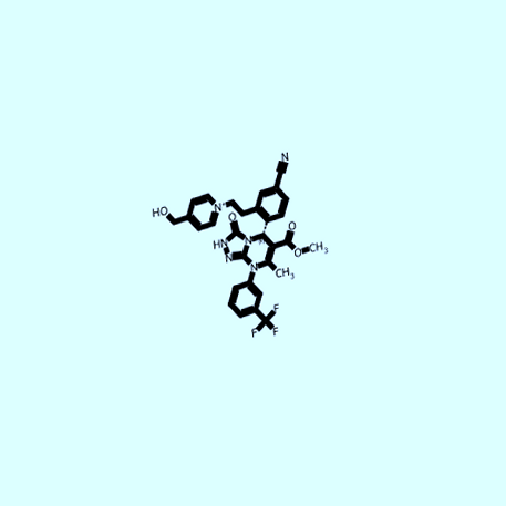 COC(=O)C1=C(C)N(c2cccc(C(F)(F)F)c2)c2n[nH]c(=O)n2[C@@H]1c1ccc(C#N)cc1CC[n+]1ccc(CO)cc1